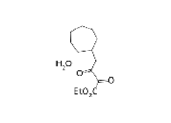 CCOC(=O)C(=O)C(=O)CC1CCCCCC1.O